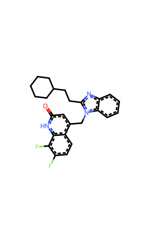 O=c1cc(Cn2c(CCC3CCCCC3)nc3ccccc32)c2ccc(F)c(F)c2[nH]1